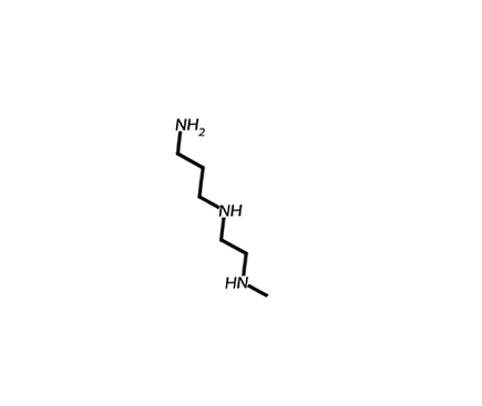 CNCCNCCCN